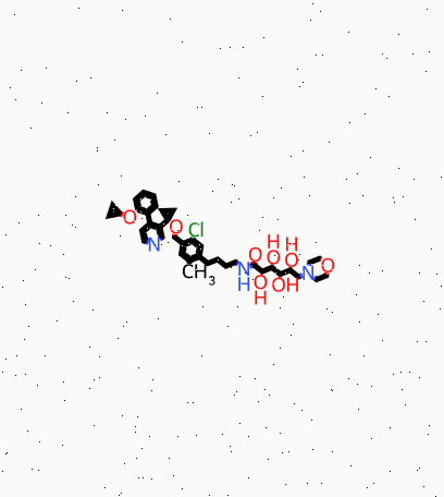 Cc1cc(COC2(c3cnccc3-c3ccccc3OC3CC3)CC2)c(Cl)cc1CCCCNC(=O)[C@@H](O)[C@@H](O)[C@H](O)[C@@H](O)CN1CCOCC1